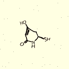 O=C1C=C(O)CC(S)N1